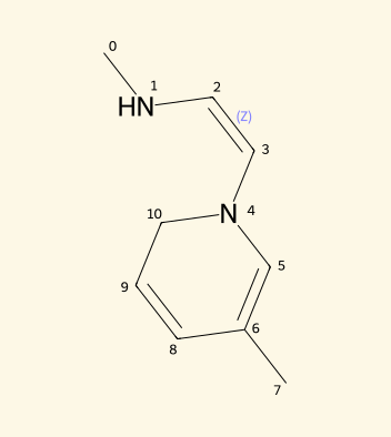 CN/C=C\N1C=C(C)C=CC1